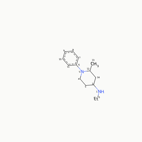 CCNC1CCN(c2ccccc2)C(C)C1